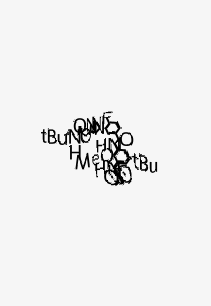 COc1c(NC(=O)c2ccc(F)c(-n3cc(OC(=O)NCC(C)(C)C)nn3)c2)cc(C(C)(C)C)cc1NS(C)(=O)=O